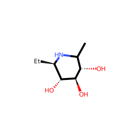 CC[C@H]1NC(C)[C@H](O)[C@@H](O)[C@@H]1O